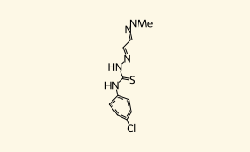 CN/N=C/C=N/NC(=S)Nc1ccc(Cl)cc1